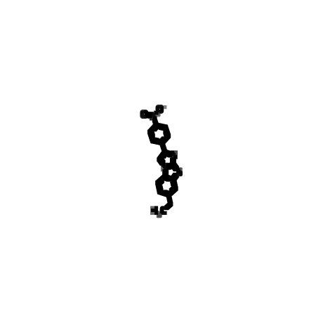 CCc1ccc2c(c1)sc1nc(-c3ccc([N+](=O)[O-])cc3)cn12